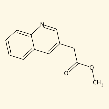 COC(=O)Cc1cnc2ccccc2c1